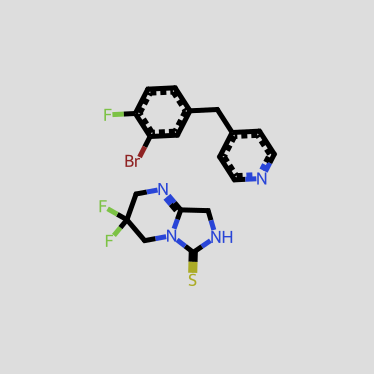 FC1(F)CN=C2CNC(=S)N2C1.Fc1ccc(Cc2ccncc2)cc1Br